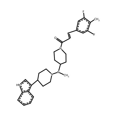 Cc1c(F)cc(/C=C/C(=O)N2CCC(N(C)N3CCC(c4c[nH]c5ccccc45)CC3)CC2)cc1F